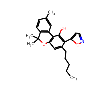 CCCCCc1cc2c(c(O)c1-c1ccno1)-c1cc(C)ccc1C(C)(C)O2